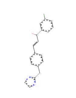 OC(C=Cc1ccc(Cc2ncc[nH]2)cc1)c1cccc(Cl)c1